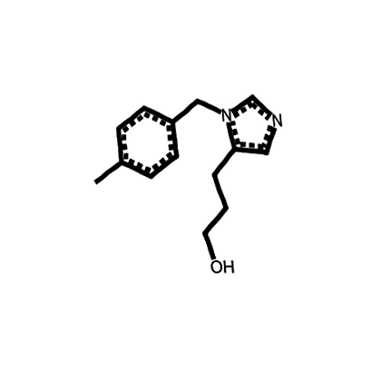 Cc1ccc(Cn2cncc2CCCO)cc1